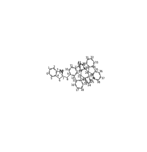 c1ccc2c(c1)CC(Cc1cccc3c1-c1ccccc1C31c3ccccc3C3(c4ccccc4-c4ccccc43)c3ccccc31)=N2